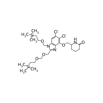 C[Si](C)(C)CCOCOCc1nc2c(OCC3CCCC(=O)N3)c(Cl)c(Cl)cc2n1COCC[Si](C)(C)C